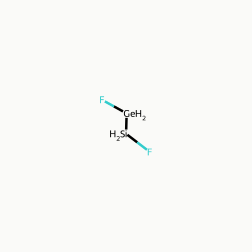 F[SiH2][GeH2][F]